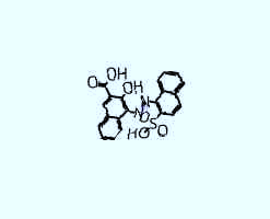 O=C(O)c1cc2ccccc2c(/N=N/c2c(S(=O)(=O)O)ccc3ccccc23)c1O